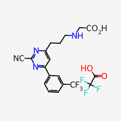 N#Cc1nc(CCCNCC(=O)O)cc(-c2cccc(C(F)(F)F)c2)n1.O=C(O)C(F)(F)F